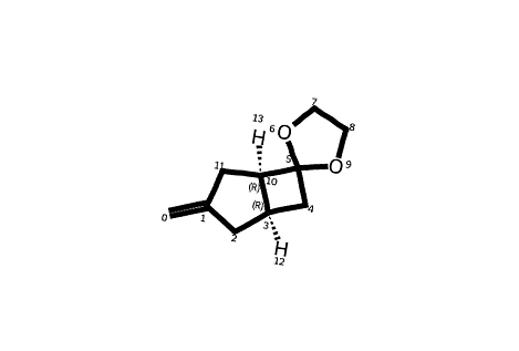 C=C1C[C@@H]2CC3(OCCO3)[C@@H]2C1